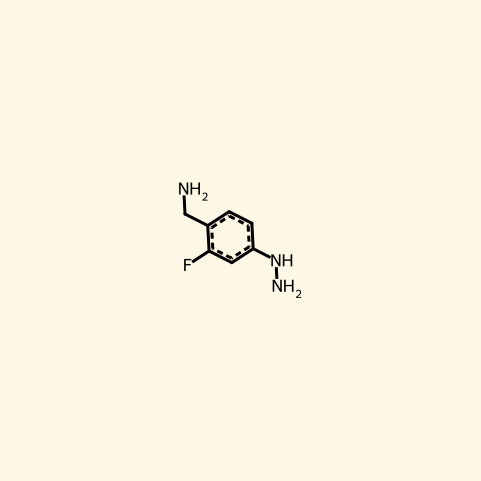 NCc1ccc(NN)cc1F